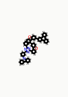 c1ccc(-c2nc(-c3cccc(-n4c5ccccc5c5ccccc54)c3)nc(-c3cccc4oc5ccc(-c6cccc7oc8ccc(-c9ccc%10c%11ccccc%11c%11ccccc%11c%10c9)cc8c67)cc5c34)n2)cc1